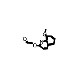 COc1cccc2ccc(OC[C]=O)nc12